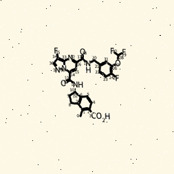 Cc1c(C(=O)O)ccc2c1CC[C@@H]2NC(=O)c1cc(C(=O)NCc2ccc(F)c(OC(F)F)c2)nc2c(F)cnn12